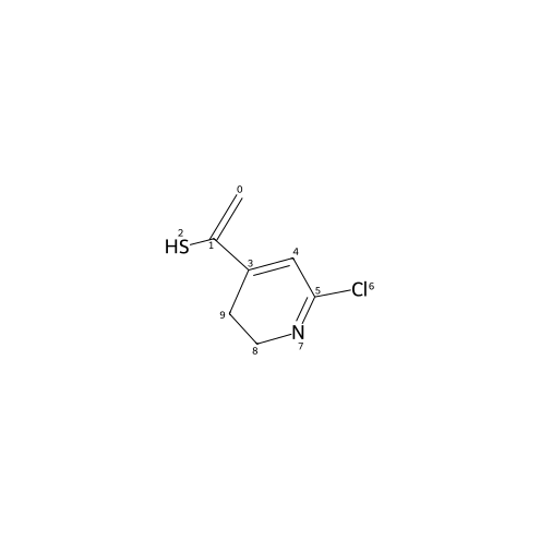 C=C(S)C1=CC(Cl)=NCC1